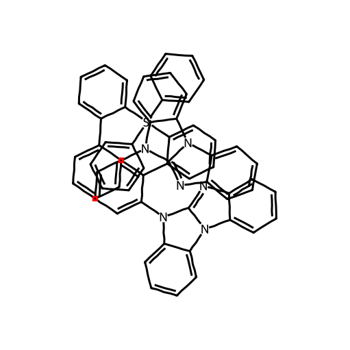 c1ccc([Si](c2ccccc2)(c2ccccc2-c2ccccc2-n2c3ccccc3n3c4ccccc4nc23)c2ccccc2-c2ccccc2-n2c3ccccc3n3c4ccccc4nc23)cc1